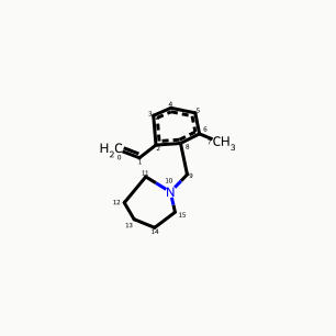 C=Cc1cccc(C)c1CN1CCCCC1